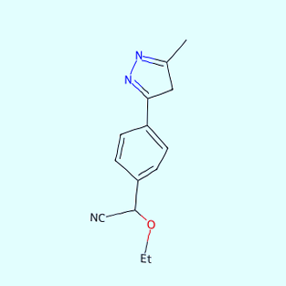 CCOC(C#N)c1ccc(C2=NN=C(C)C2)cc1